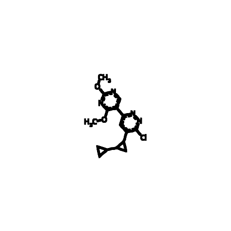 COc1ncc(-c2cc(C3CC3C3CC3)c(Cl)nn2)c(OC)n1